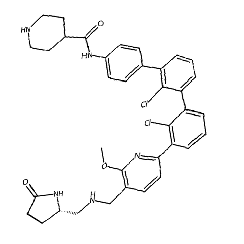 COc1nc(-c2cccc(-c3cccc(-c4ccc(NC(=O)C5CCNCC5)cc4)c3Cl)c2Cl)ccc1CNC[C@@H]1CCC(=O)N1